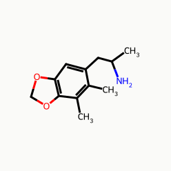 Cc1c(CC(C)N)cc2c(c1C)OCO2